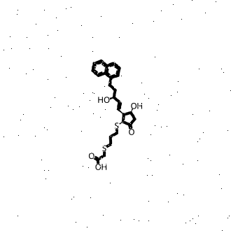 O=C(O)CSCCCS[C@H]1C(=O)C[C@@H](O)[C@@H]1/C=C/[C@@H](O)CCc1cccc2ccccc12